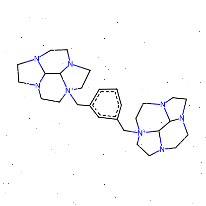 c1cc(C[N+]23CCN4CCN5CCN(CC2)C3C54)cc(C[N+]23CCN4CCN5CCN(CC2)C3C54)c1